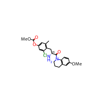 COC(=O)Oc1cc(C)c(C[C@@H](N)C(=O)N2CCCc3cc(OC)ccc32)c(Cl)c1